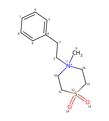 C[N+]1(CCc2ccccc2)CCS(=O)(=O)CC1